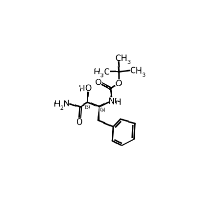 CC(C)(C)OC(=O)N[C@@H](Cc1ccccc1)[C@H](O)C(N)=O